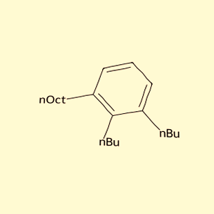 CCCCCCCCc1cccc(CCCC)c1CCCC